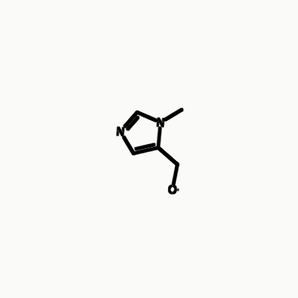 Cn1cncc1C[O]